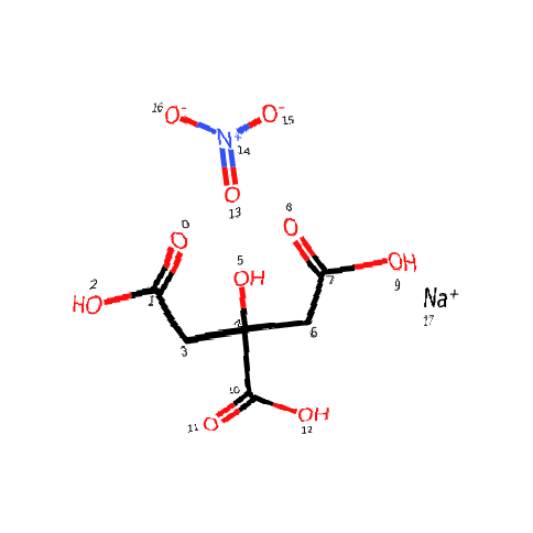 O=C(O)CC(O)(CC(=O)O)C(=O)O.O=[N+]([O-])[O-].[Na+]